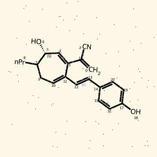 C=C(C#N)C1=C[C@@H](O)C(CCC)CC=C1/C=C/c1ccc(O)cc1